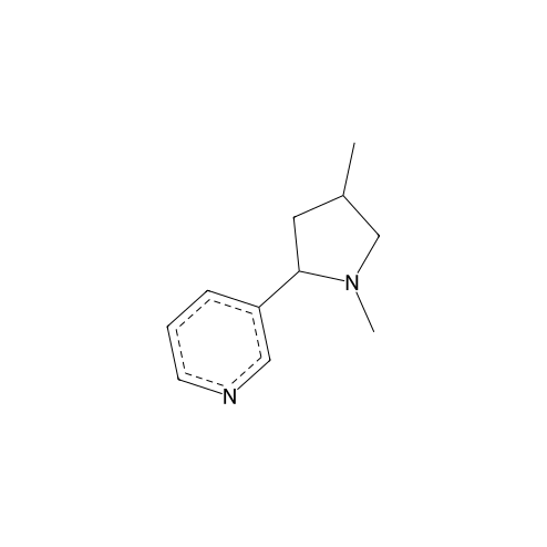 CC1CC(c2cccnc2)N(C)C1